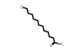 NC(=O)CCCCCCCCCCCCl